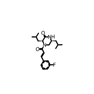 CC(C)C[C@H]1CN(C(=O)/C=C/c2cccc(F)c2)[C@@H](CC(C)C)C(=O)N1